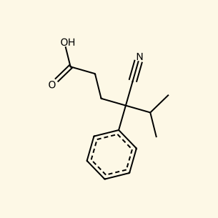 CC(C)C(C#N)(CCC(=O)O)c1ccccc1